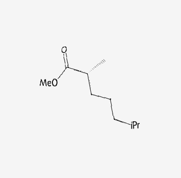 COC(=O)[C@H](C)CCCC(C)C